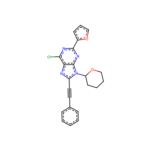 Clc1nc(-c2ccco2)nc2c1nc(C#Cc1ccccc1)n2C1CCCCO1